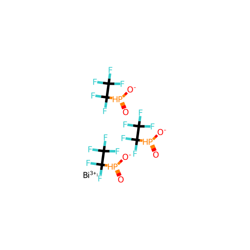 O=[PH]([O-])C(F)(F)C(F)(F)F.O=[PH]([O-])C(F)(F)C(F)(F)F.O=[PH]([O-])C(F)(F)C(F)(F)F.[Bi+3]